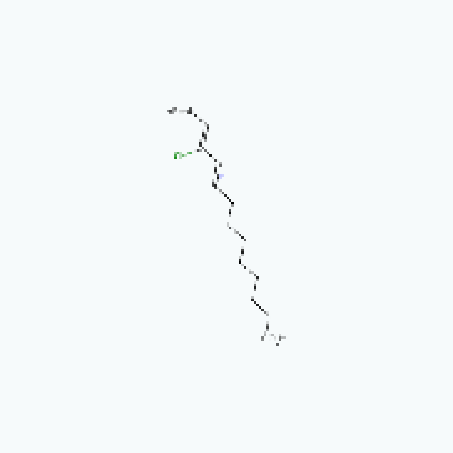 CCCCCC=C(Cl)/C=C/CCCCCCCC(=O)O